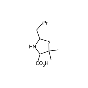 CC(C)CC1NC(C(=O)O)C(C)(C)S1